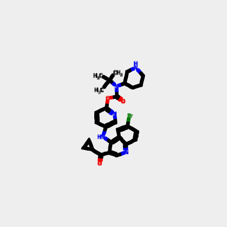 CC(C)(C)N(C(=O)Oc1ccc(Nc2c(C(=O)C3CC3)cnc3ccc(Br)cc23)cn1)C1CCCNC1